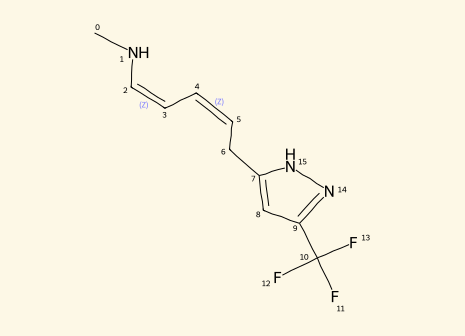 CN/C=C\C=C/Cc1cc(C(F)(F)F)n[nH]1